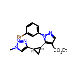 CCOC(=O)c1cnn(-c2cccc(Br)c2)c1[C@@H]1C[C@H]1c1cn(C)nn1